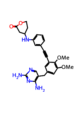 COc1cc(Cc2cnc(N)nc2N)cc(C#Cc2cccc(NC3CCOC(=O)C3)c2)c1OC